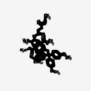 COC(=O)CCC(=O)OC1C(C)C2OC1C1(C(=O)OC)C3OC(C(OC(C)=O)C3OC(c3ccccc3)(c3ccc(OC)cc3)c3ccc(OC)cc3)C21C(=O)OC